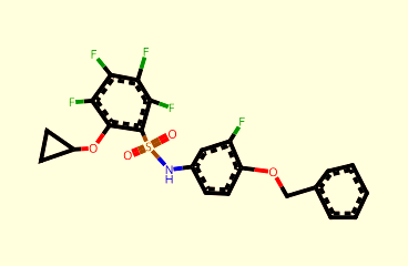 O=S(=O)(Nc1ccc(OCc2ccccc2)c(F)c1)c1c(F)c(F)c(F)c(F)c1OC1CC1